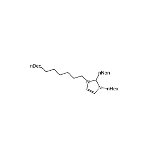 CCCCCCCCCCCCCCCCN1C=CN(CCCCCC)C1CCCCCCCCC